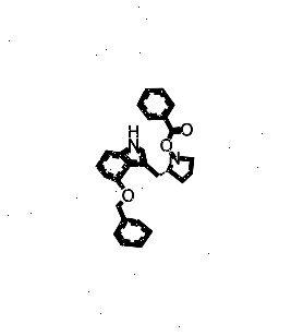 O=C(ON1CCC[C@@H]1Cc1c[nH]c2cccc(OCc3ccccc3)c12)c1ccccc1